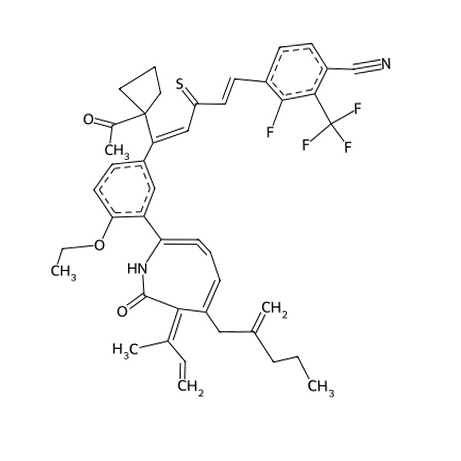 C=C/C(C)=C1C(=O)NC(c2cc(/C(=C/C(=S)/C=C/c3ccc(C#N)c(C(F)(F)F)c3F)C3(C(C)=O)CCC3)ccc2OCC)=C=C\C=C/1CC(=C)CCC